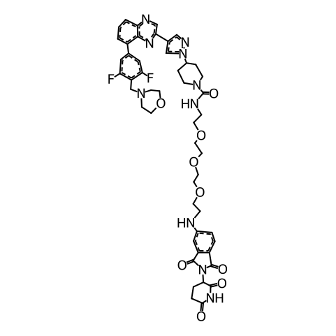 O=C1CCC(N2C(=O)c3ccc(NCCOCCOCCOCCNC(=O)N4CCC(n5cc(-c6cnc7cccc(-c8cc(F)c(CN9CCOCC9)c(F)c8)c7n6)cn5)CC4)cc3C2=O)C(=O)N1